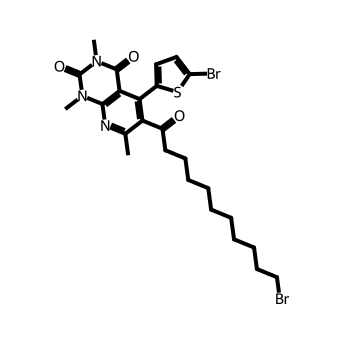 Cc1nc2c(c(-c3ccc(Br)s3)c1C(=O)CCCCCCCCCCBr)c(=O)n(C)c(=O)n2C